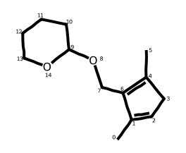 CC1=CCC(C)=C1COC1CCCCO1